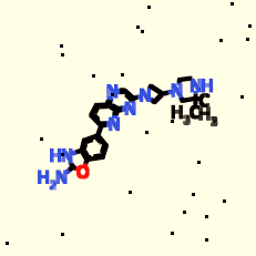 CC1(C)CN(C2CN(c3cnc4ccc(-c5ccc6c(c5)NC(N)O6)nc4n3)C2)CCN1